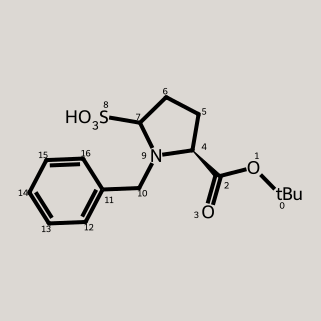 CC(C)(C)OC(=O)[C@@H]1CCC(S(=O)(=O)O)N1Cc1ccccc1